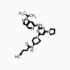 C#CCCC(=O)NC1CCN(c2cc(N3CCCC3)nc(Nc3cc4c(cn3)cnn4C(C)C)n2)CC1